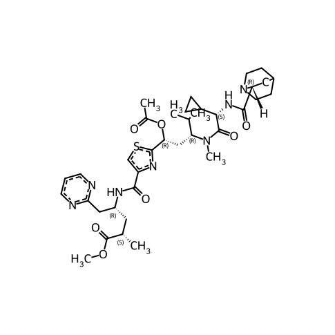 COC(=O)[C@@H](C)C[C@H](Cc1ncccn1)NC(=O)c1csc([C@@H](C[C@H](C(C)C)N(C)C(=O)[C@@H](NC(=O)[C@H]2CC3CCN2CC3)C2CC2)OC(C)=O)n1